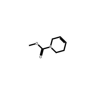 COC(=O)N1CC=CCC1